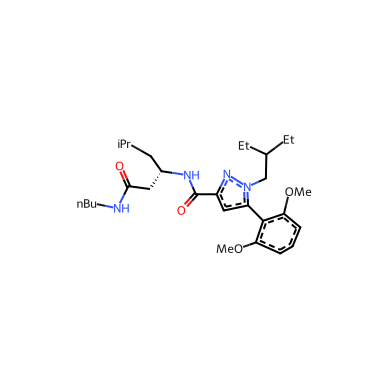 CCCCNC(=O)C[C@H](CC(C)C)NC(=O)c1cc(-c2c(OC)cccc2OC)n(CC(CC)CC)n1